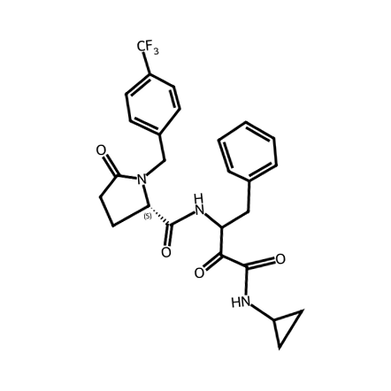 O=C(NC1CC1)C(=O)C(Cc1ccccc1)NC(=O)[C@@H]1CCC(=O)N1Cc1ccc(C(F)(F)F)cc1